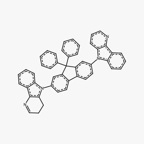 C1=Nc2c(n(-c3ccc4c(c3)C(c3ccccc3)(c3ccccc3)c3cc(-n5c6ccccc6c6ncccc65)ccc3-4)c3ccccc23)CC1